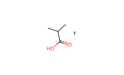 CC(C)C(=O)O.[Y]